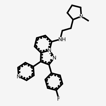 CN1CCCC1CCNc1cccc2c(-c3ccncc3)c(-c3ccc(F)cc3)nn12